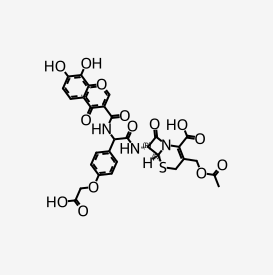 CC(=O)OCC1=C(C(=O)O)N2C(=O)[C@@H](NC(=O)C(NC(=O)c3coc4c(O)c(O)ccc4c3=O)c3ccc(OCC(=O)O)cc3)[C@H]2SC1